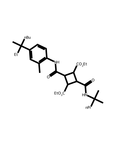 CCCCC(C)(CC)c1ccc(NC(=O)C2C(C(=O)OCC)C(C(=O)NC(C)(C)CCC)C2C(=O)OCC)c(C)c1